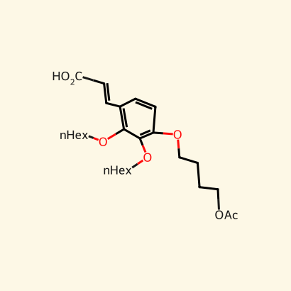 CCCCCCOc1c(C=CC(=O)O)ccc(OCCCCOC(C)=O)c1OCCCCCC